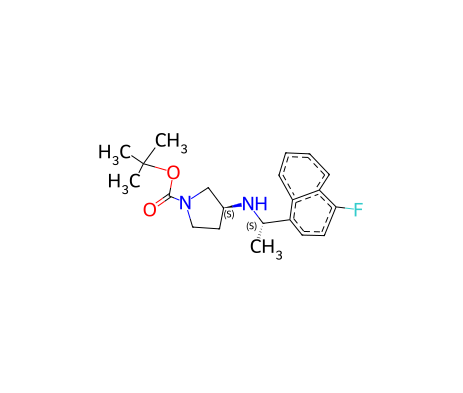 C[C@H](N[C@H]1CCN(C(=O)OC(C)(C)C)C1)c1ccc(F)c2ccccc12